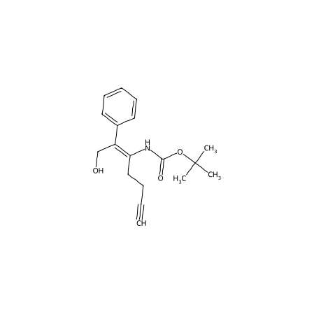 C#CCC/C(NC(=O)OC(C)(C)C)=C(\CO)c1ccccc1